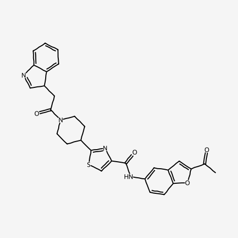 CC(=O)c1cc2cc(NC(=O)c3csc(C4CCN(C(=O)CC5C=Nc6ccccc65)CC4)n3)ccc2o1